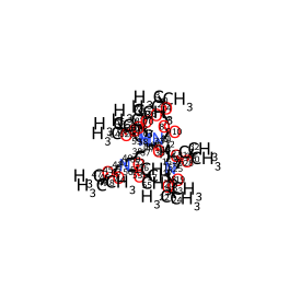 CC(C)(C)OC(=O)COC(=O)[C@H](CCCCN(CC(=O)OC(C)(C)C)CC(=O)OC(C)(C)C)NC(=O)[C@H](CCCCN(CC(=O)OC(C)(C)C)CC(=O)OC(C)(C)C)N(CC(=O)OC(C)(C)C)CC(=O)OC(C)(C)C